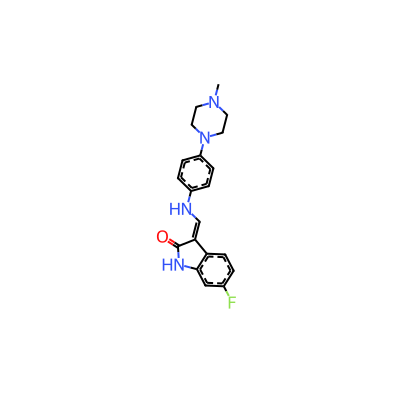 CN1CCN(c2ccc(NC=C3C(=O)Nc4cc(F)ccc43)cc2)CC1